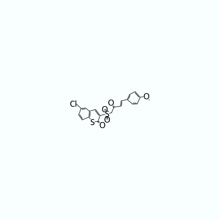 COc1ccc(C=CC(=O)CS(=O)(=O)c2cc3cc(Cl)ccc3sc2=O)cc1